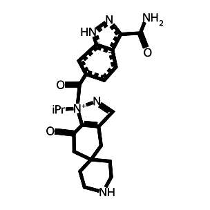 CC(C)[N+]1(C(=O)c2ccc3c(C(N)=O)n[nH]c3c2)N=CC2=C1C(=O)CC1(CCNCC1)C2